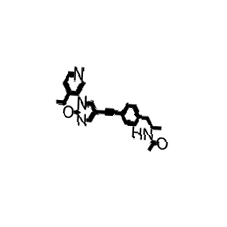 CC(=O)NC(C)Cc1ccc(C#Cc2cnc(OC(C)c3ccncc3)nc2)cc1